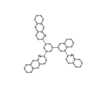 c1ccc2cc3nc(-c4cc(-c5cc(-c6ccc7ccccc7n6)c6ccccc6c5)cc(-c5ccc6cc7ccccc7cc6n5)c4)ccc3cc2c1